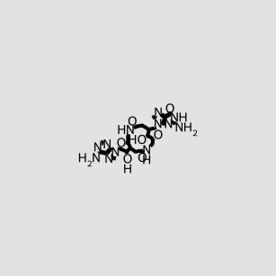 Nc1nc2c(ncn2C2OC3CNC(=O)CC4C(CNC(=O)CC2C3O)OC(n2cnc3c(N)ncnc32)C4O)c(=O)[nH]1